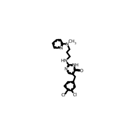 CN(CCCNc1ncc(Cc2ccc(Cl)c(Cl)c2)c(=O)[nH]1)c1ccccn1